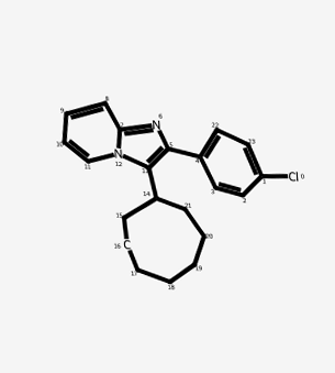 Clc1ccc(-c2nc3ccccn3c2C2CCCCCCC2)cc1